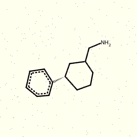 NCC1CCC[C@H](c2ccccc2)C1